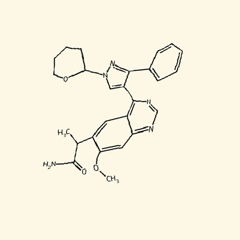 COc1cc2ncnc(-c3cn(C4CCCCO4)nc3-c3ccccc3)c2cc1C(C)C(N)=O